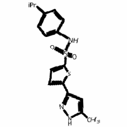 Cc1cc(-c2ccc(S(=O)(=O)Nc3ccc(C(C)C)cc3)s2)n[nH]1